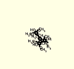 CCc1cc(C(C)(c2ccc(C(C)(C)c3cc(COC)c(O)c(COC)c3)cc2)c2cc(COC)c(O)c(COC)c2)cc(CC)c1O